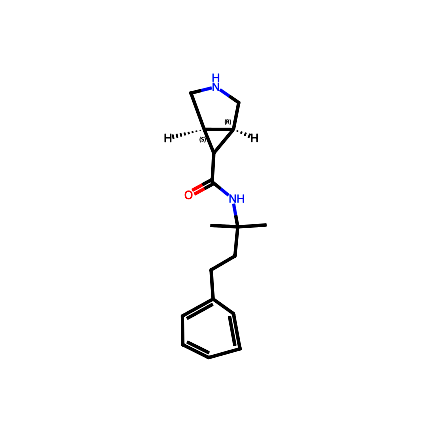 CC(C)(CCc1ccccc1)NC(=O)C1[C@H]2CNC[C@@H]12